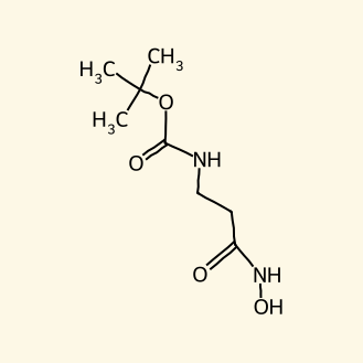 CC(C)(C)OC(=O)NCCC(=O)NO